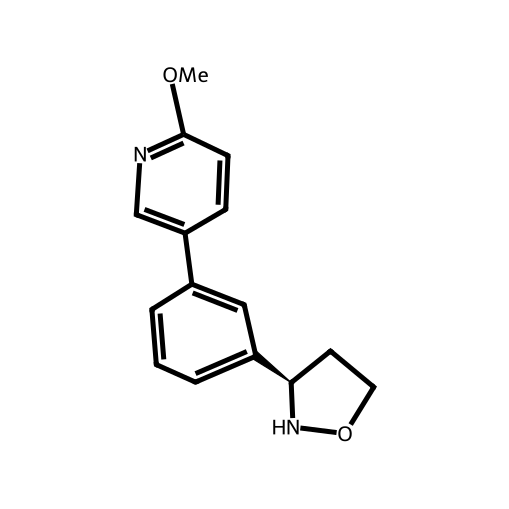 COc1ccc(-c2cccc([C@H]3CCON3)c2)cn1